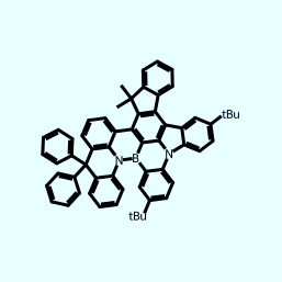 CC(C)(C)c1ccc2c(c1)B1c3c(c4c(c5c6cc(C(C)(C)C)ccc6n-2c35)-c2ccccc2C4(C)C)-c2cccc3c2N1c1ccccc1C3(c1ccccc1)c1ccccc1